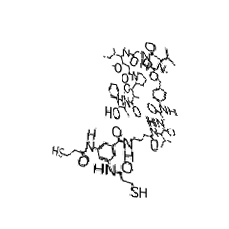 CCC(C)C(C(CC(=O)N1CCCC1C(OC)C(C)C(=O)NC(C)C(O)c1ccccc1)OC)N(C)C(=O)CNC(=O)C(C(C)C)N(C)C(=O)OCc1ccc(NC(=O)CNC(=O)C(NC(=O)CCCNC(=O)c2cc(NC(=O)CCS)cc(NC(=O)CCS)c2)C(C)C)cc1